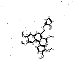 COC(=O)c1c(CSc2nccn2C)nc2cc(OC)c(OC)cc2c1-c1ccc(OC)c(OC)c1